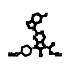 CO[C@H]1CC[C@H](n2c(=O)n(C(=O)OC(C)(C)C)c3cnc(-n4cnc5ccc(F)cc54)nc32)CC1